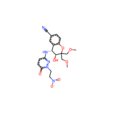 COCC1(COC)Oc2ccc(C#N)cc2[C@@H](Nc2ccc(=O)n(CC[N+](=O)[O-])n2)[C@@H]1O